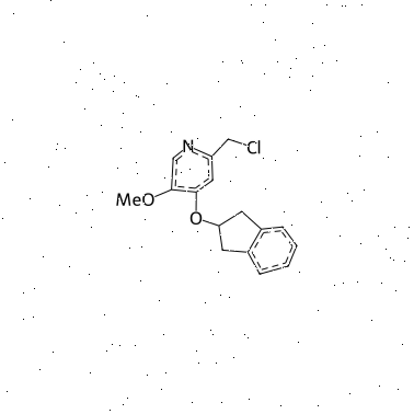 COc1cnc(CCl)cc1OC1Cc2ccccc2C1